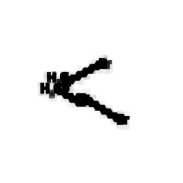 CCC(CCCC1CCN(CCCCCCCCCCBr)CC1)CCN(C)CCCCCCCCCCBr